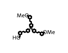 COc1cccc(/C=C/c2ccc(N(c3ccc(/C=C/c4cccc(CO)c4)cc3)c3ccc(/C=C/c4cccc(OC)c4)cc3)cc2)c1